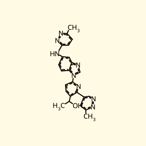 Cc1cc(-c2nc(-n3cnc4cc(Nc5ccc(C)nn5)ccc43)ccc2C(C)O)cnn1